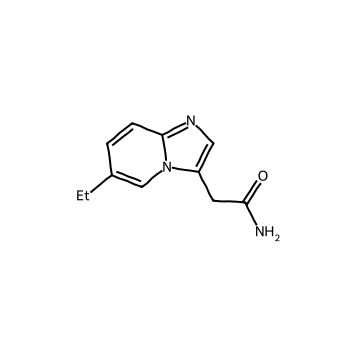 CCc1ccc2ncc(CC(N)=O)n2c1